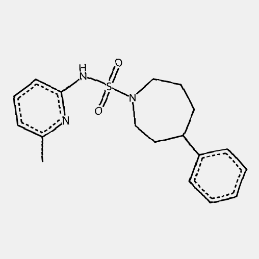 Cc1cccc(NS(=O)(=O)N2CCCC(c3ccccc3)CC2)n1